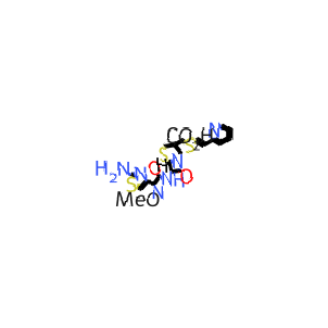 CON=C(C(=O)NC1C(=O)N2CC(CSC=Cc3ccccn3)(C(=O)O)CS[C@H]12)c1csc(N)n1